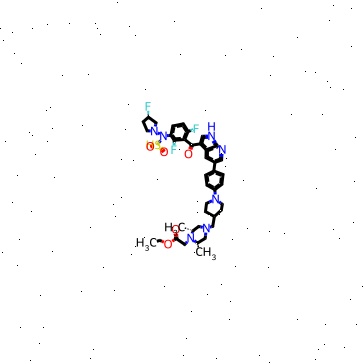 CCOC(=O)CN1[C@H](C)CN(CC2CCN(c3ccc(-c4cnc5[nH]cc(C(=O)c6c(F)ccc(N(N7CC[C@@H](F)C7)[SH](=O)=O)c6F)c5c4)cc3)CC2)C[C@@H]1C